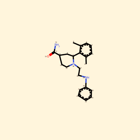 Cc1cccc(C)c1C1CC(C(N)=O)CCN1CCNc1ccccc1